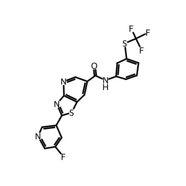 O=C(Nc1cccc(SC(F)(F)F)c1)c1cnc2nc(-c3cncc(F)c3)sc2c1